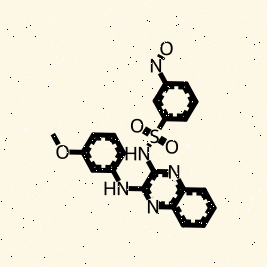 COc1cccc(Nc2nc3ccccc3nc2NS(=O)(=O)c2cccc(N=O)c2)c1